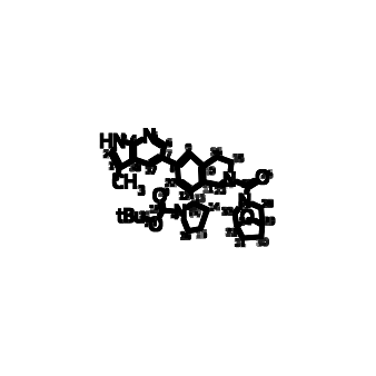 Cc1c[nH]c2ncc(-c3cc4c(c([C@@H]5CCCN5C(=O)OC(C)(C)C)c3)CN(C(=O)N3CC5CCC(C3)O5)CC4)cc12